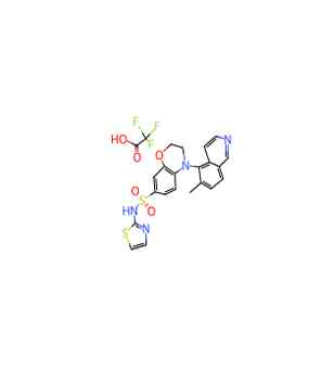 Cc1ccc2cnccc2c1N1CCOc2cc(S(=O)(=O)Nc3nccs3)ccc21.O=C(O)C(F)(F)F